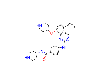 Cc1ccc(OC2CCNCC2)c2nc(Nc3ccc(C(=O)NC4CCNCC4)cc3)ncc12